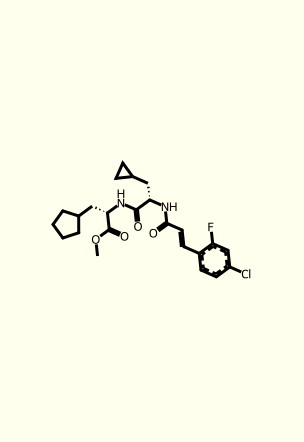 COC(=O)[C@H](CC1CCCC1)NC(=O)[C@H](CC1CC1)NC(=O)/C=C/c1ccc(Cl)cc1F